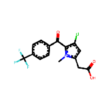 Cn1c(CC(=O)O)cc(Cl)c1C(=O)c1ccc(C(F)(F)F)cc1